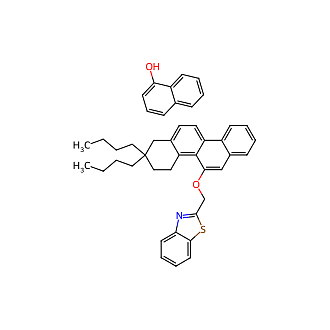 CCCCC1(CCCC)CCc2c(ccc3c2c(OCc2nc4ccccc4s2)cc2ccccc23)C1.Oc1cccc2ccccc12